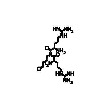 N=C(N)NCCC[C@@H](N)C(=O)N(CCCC=O)C(=O)[C@H](N)CCCNC(=N)N